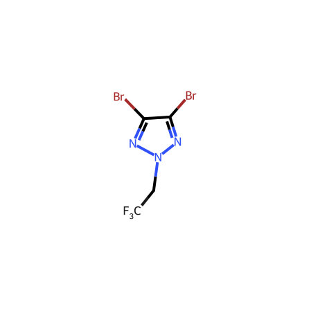 FC(F)(F)Cn1nc(Br)c(Br)n1